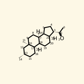 CC(=O)[C@H]1CCC2[C@@H]3CC[C@]4(C)C[C@@H](C)CC[C@@H]4C3CC[C@@H]21